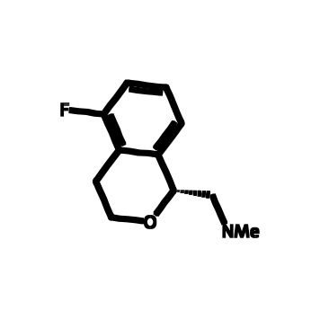 CNC[C@@H]1OCCc2c(F)cccc21